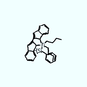 CCC[CH2][Ti]([CH2]CCC)([CH]1C(C)=Cc2ccccc21)([CH]1C(C)=Cc2ccccc21)[SiH](C)c1ccccc1